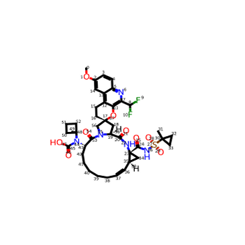 COc1ccc2nc(C(F)F)c3c(c2c1)CC[C@]1(C[C@H]2C(=O)N[C@]4(C(=O)NS(=O)(=O)C5(C)CC5)C[C@H]4/C=C\CCCCC[C@H](N(C(=O)O)C4(C)CCC4)C(=O)N2C1)O3